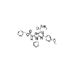 CCOc1ccc(-c2nc(C(N)=O)c3nc(NC(=O)OCc4ccccc4)n(-c4ccccc4)c3n2)cc1